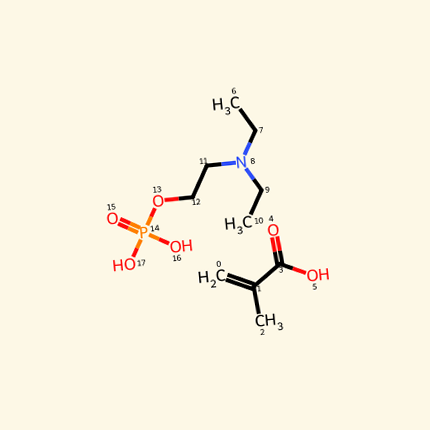 C=C(C)C(=O)O.CCN(CC)CCOP(=O)(O)O